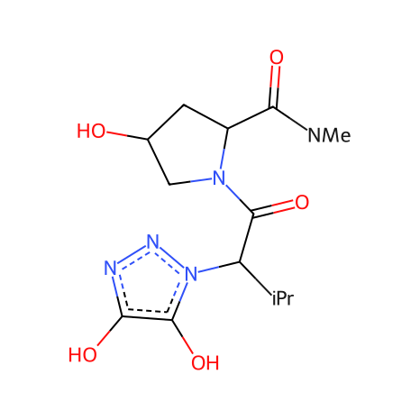 CNC(=O)C1CC(O)CN1C(=O)C(C(C)C)n1nnc(O)c1O